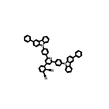 N#Cc1cccc(-c2cc(-c3ccc(-n4c5ccccc5c5cc(-c6ccccc6)ccc54)cc3)nc(-c3ccc(-n4c5ccccc5c5cc(-c6ccccc6)ccc54)cc3)c2)c1C#N